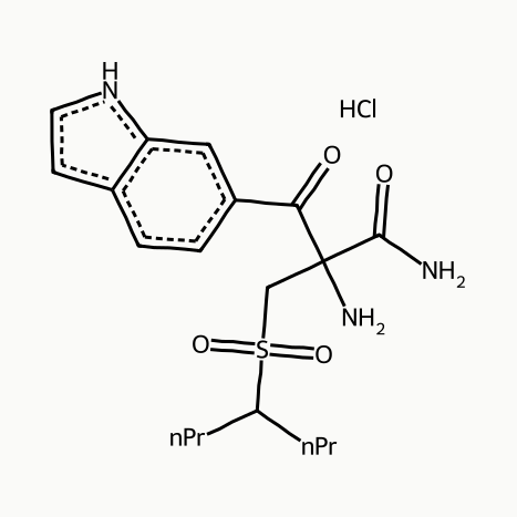 CCCC(CCC)S(=O)(=O)CC(N)(C(N)=O)C(=O)c1ccc2cc[nH]c2c1.Cl